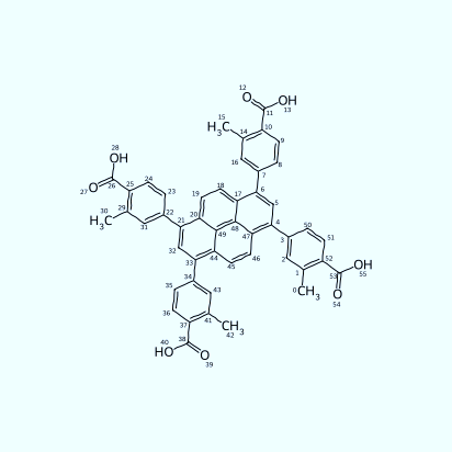 Cc1cc(-c2cc(-c3ccc(C(=O)O)c(C)c3)c3ccc4c(-c5ccc(C(=O)O)c(C)c5)cc(-c5ccc(C(=O)O)c(C)c5)c5ccc2c3c54)ccc1C(=O)O